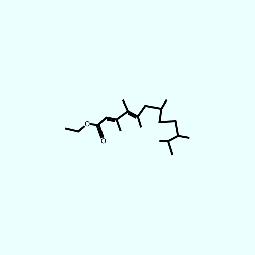 CCOC(=O)/C=C(C)/C(C)=C(\C)CC(C)CCC(C)C(C)C